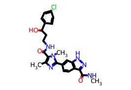 CNC(=O)c1n[nH]c2cc(-c3nc(C)c(C(=O)NCCC(O)c4ccc(Cl)cc4)n3C)ccc12